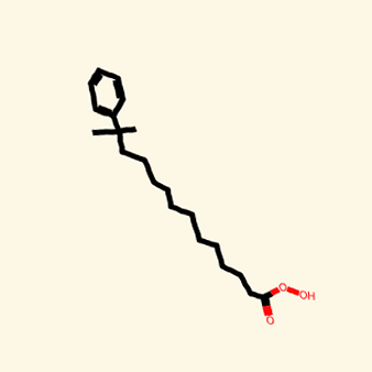 CC(C)(CCCCCCCCCCCC(=O)OO)c1ccccc1